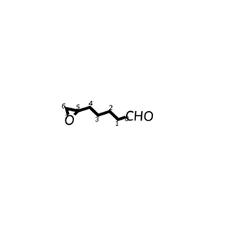 O=CCCCCC1CO1